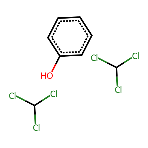 ClC(Cl)Cl.ClC(Cl)Cl.Oc1ccccc1